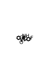 NS(=O)(=O)N(Cc1ccc(F)cc1)C(=O)c1ccccc1